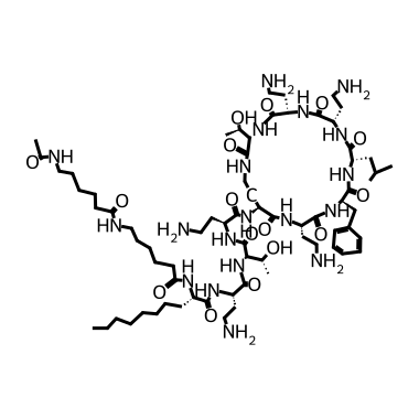 CCCCCCCC[C@H](NC(=O)CCCCCNC(=O)CCCCCNC(C)=O)C(=O)N[C@@H](CCN)C(=O)N[C@H](C(=O)N[C@@H](CCN)C(=O)N[C@H]1CCNC(=O)[C@H]([C@@H](C)O)NC(=O)[C@H](CCN)NC(=O)[C@H](CCN)NC(=O)[C@H](CC(C)C)NC(=O)[C@@H](Cc2ccccc2)NC(=O)[C@H](CCN)NC1=O)[C@@H](C)O